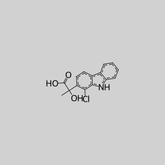 CC(O)(C(=O)O)c1ccc2c([nH]c3ccccc32)c1Cl